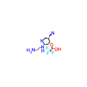 N#Cc1ccc(NCCN)nc1.O=C(O)C(F)(F)F